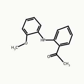 COc1ccccc1Pc1ccccc1C(C)=O